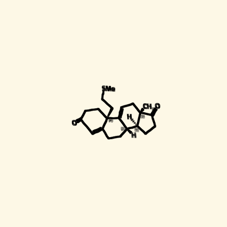 CSCC[C@]12CCC(=O)C=C1CC[C@@H]1C2=CC[C@]2(C)C(=O)CC[C@@H]12